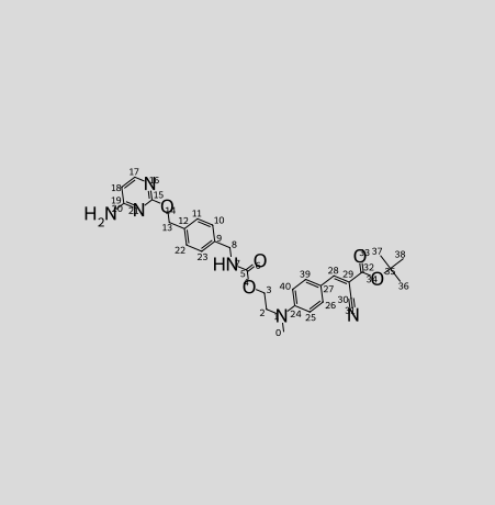 CN(CCOC(=O)NCc1ccc(COc2nccc(N)n2)cc1)c1ccc(/C=C(\C#N)C(=O)OC(C)(C)C)cc1